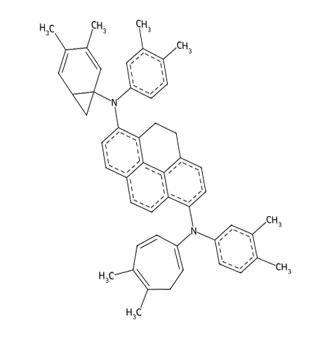 CC1=CC2CC2(N(c2ccc(C)c(C)c2)c2ccc3ccc4c(N(C5=CCC(C)=C(C)C=C5)c5ccc(C)c(C)c5)ccc5c4c3c2CC5)C=C1C